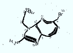 CC(C)(C)Cn1c(N)nc2ccc(Br)nc21